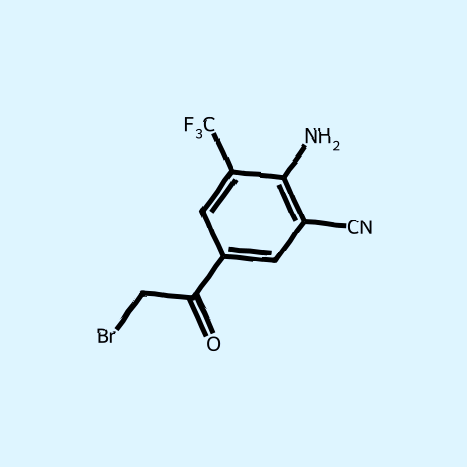 N#Cc1cc(C(=O)CBr)cc(C(F)(F)F)c1N